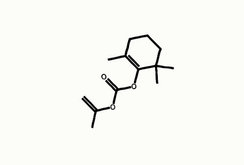 C=C(C)OC(=O)OC1=C(C)CCCC1(C)C